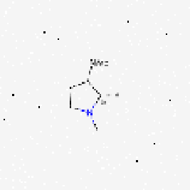 CNC1CCN(C)[C@H]1C